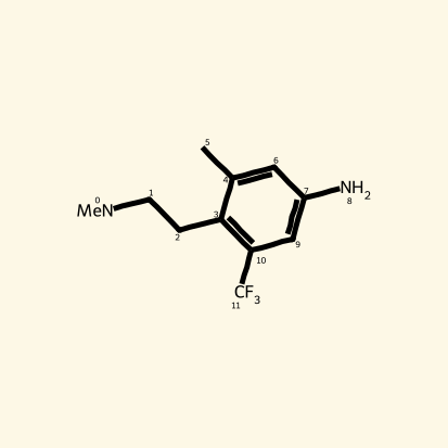 CNCCc1c(C)cc(N)cc1C(F)(F)F